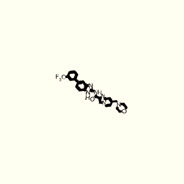 O=C(Nc1nc2cc(-c3cccc(C(F)(F)F)c3)ccc2[nH]1)c1cn2ccc(CN3CCOCC3)cc2n1